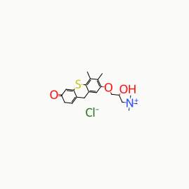 Cc1c(OCC(O)C[N+](C)(C)C)cc2c(c1C)SC1=CC(=O)CC=C1C2.[Cl-]